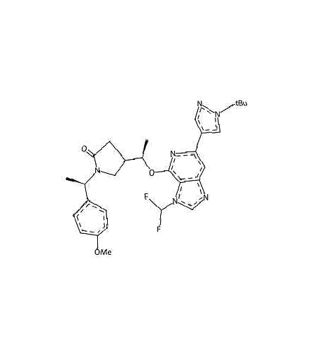 COc1ccc([C@@H](C)N2CC([C@@H](C)Oc3nc(-c4cnn(C(C)(C)C)c4)cc4ncn(C(F)F)c34)CC2=O)cc1